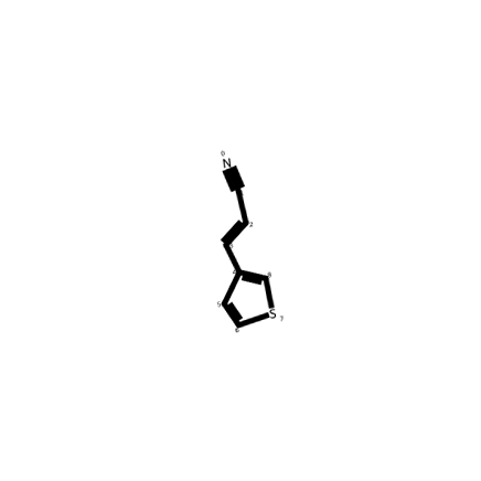 N#CC=Cc1ccsc1